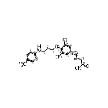 FC(F)(F)c1ccc([AsH]CCCOc2c(Cl)cc(OCC=C(Cl)Cl)cc2Cl)nc1